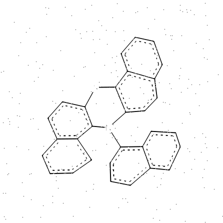 c1ccc2c(N3c4ccc5ccccc5c4Sc4ccc5ccccc5c43)cccc2c1